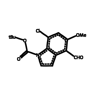 COc1cc(Cl)c2c(ccn2C(=O)OC(C)(C)C)c1C=O